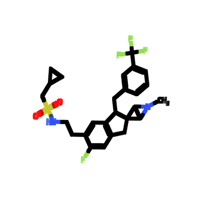 CN1C2C1C21Cc2cc(F)c(CCNS(=O)(=O)CC3CC3)cc2C1Cc1cccc(C(F)(F)F)c1